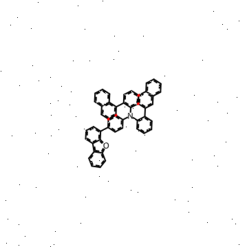 c1ccc(N(c2ccc(-c3cccc4c3oc3ccccc34)cc2)c2ccccc2-c2cccc3ccccc23)c(-c2ccc3ccccc3c2)c1